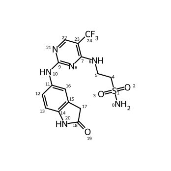 NS(=O)(=O)CCNc1nc(Nc2ccc3c(c2)CC(=O)N3)ncc1C(F)(F)F